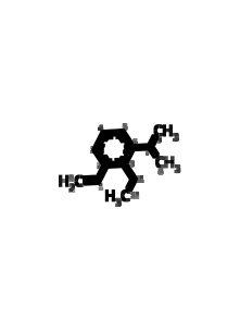 C=Cc1cccc(C(C)C)c1CC